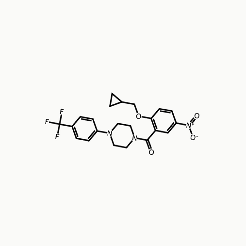 O=C(c1cc([N+](=O)[O-])ccc1OCC1CC1)N1CCN(c2ccc(C(F)(F)F)cc2)CC1